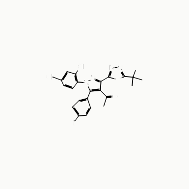 CC(=O)c1c(-c2nnc(C(C)(C)C)o2)nn(-c2ccc(Cl)cc2Cl)c1-c1ccc(Cl)cc1